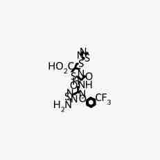 Nc1nc(C(=NOc2cccc(C(F)(F)F)c2)C(=O)NC2C(=O)N3CC(CSc4nncs4)(C(=O)O)CS[C@H]23)ns1